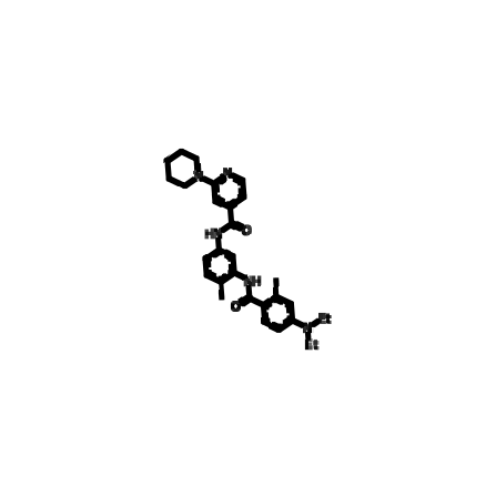 CCN(CC)c1ccc(C(=O)Nc2cc(NC(=O)c3ccnc(N4CCCCC4)c3)ccc2C)c(C)c1